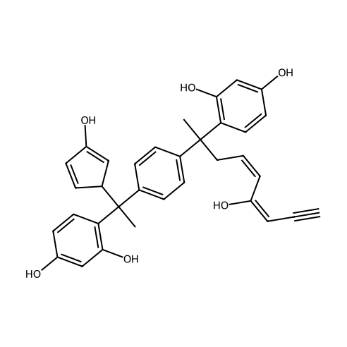 C#C/C=C(O)\C=C/CC(C)(c1ccc(C(C)(c2ccc(O)cc2O)C2C=CC(O)=C2)cc1)c1ccc(O)cc1O